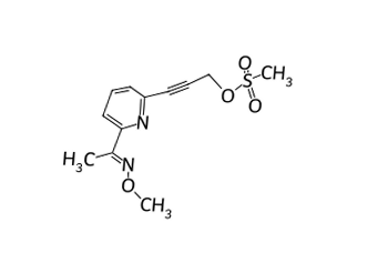 CON=C(C)c1cccc(C#CCOS(C)(=O)=O)n1